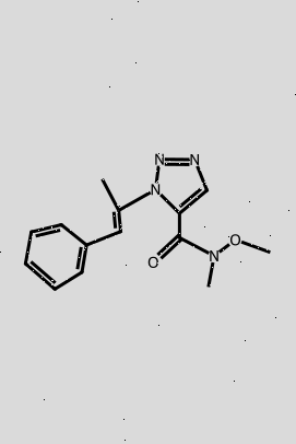 CON(C)C(=O)c1cnnn1C(C)=Cc1ccccc1